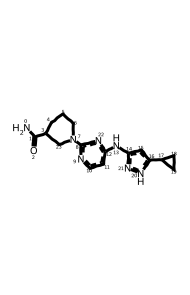 NC(=O)C1CCCN(c2nccc(Nc3cc(C4CC4)[nH]n3)n2)C1